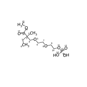 CCC(C)(COCCOCCOP(=O)(O)O)C(=O)OC